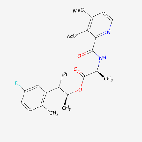 COc1ccnc(C(=O)N[C@@H](C)C(=O)O[C@@H](C)[C@H](c2cc(F)ccc2C)C(C)C)c1OC(C)=O